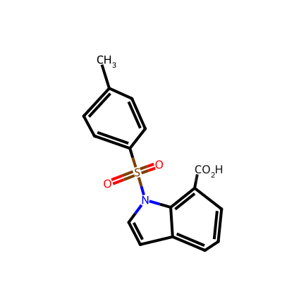 Cc1ccc(S(=O)(=O)n2ccc3cccc(C(=O)O)c32)cc1